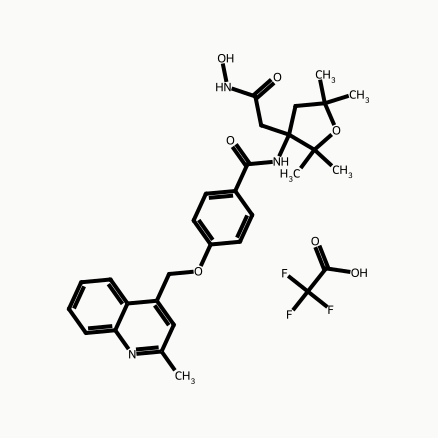 Cc1cc(COc2ccc(C(=O)NC3(CC(=O)NO)CC(C)(C)OC3(C)C)cc2)c2ccccc2n1.O=C(O)C(F)(F)F